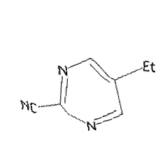 CCc1cnc(C#N)nc1